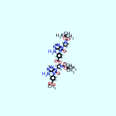 COC(=O)c1ccc(-n2c(=O)n([C@@H]3CC(OC(=O)c4ccc(-n5c(=O)n([C@@H]6CCN(C(=O)OC(C)(C)C)C6)c6ncnc(N)c65)cc4)N(C(=O)OC(C)(C)C)C3)c3ncnc(N)c32)cc1